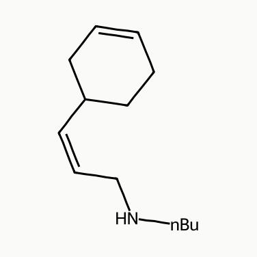 CCCCNC/C=C\C1CC=CCC1